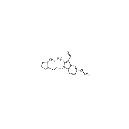 COc1ccc2c(c1)c(C=O)c(C)n2CCCN1CCCC1C